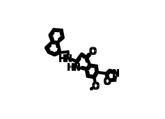 COc1cc2[nH]c(NCc3cccc4ccccc34)cc(=O)c2cc1-c1cnco1